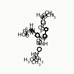 CC(C)(C)OC(=O)NC[C@H]1CC[C@H](C(=O)N[C@@H](Cc2ccc(-c3cccc(C(=O)N4CCN(C(=O)OC(C)(C)C)CC4)c3F)cc2)C(=O)Nc2ccc(-c3nn[nH]n3)cc2)CC1.O=C(O)C(F)(F)F